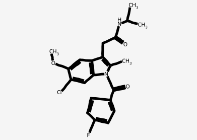 COc1cc2c(CC(=O)NC(C)C)c(C)n(C(=O)c3ccc(F)cc3)c2cc1Cl